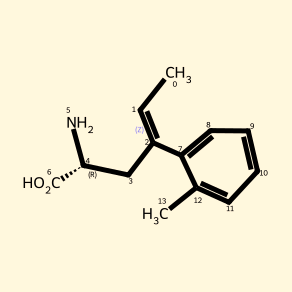 C/C=C(/C[C@@H](N)C(=O)O)c1ccccc1C